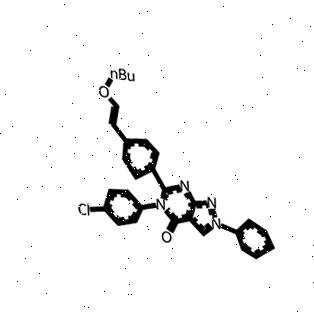 CCCCOC=Cc1ccc(-c2nc3nn(-c4ccccc4)cc3c(=O)n2-c2ccc(Cl)cc2)cc1